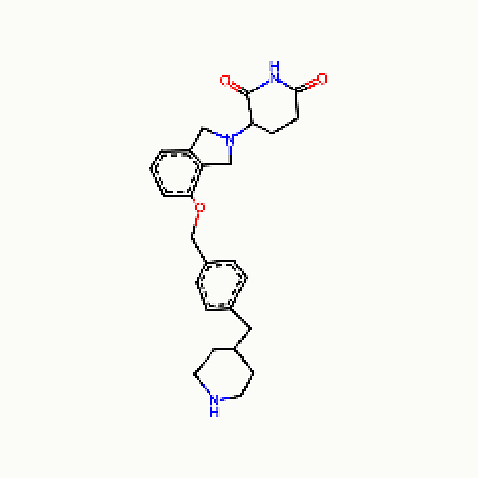 O=C1CCC(N2Cc3cccc(OCc4ccc(CC5CCNCC5)cc4)c3C2)C(=O)N1